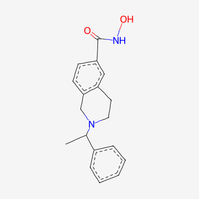 CC(c1ccccc1)N1CCc2cc(C(=O)NO)ccc2C1